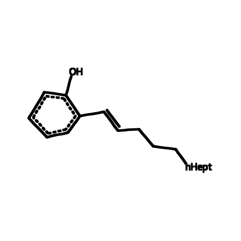 CCCCCCCCCCC=Cc1ccccc1O